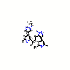 Cc1cc(-c2cnn(C)c2CCC(C)c2cc(-c3cnn(CC(F)(F)F)c3)cc(C)n2)cc(C(C)C)n1